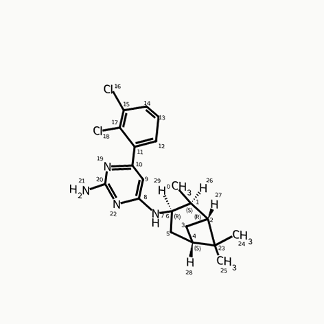 C[C@H]1[C@H]2C[C@@H](C[C@H]1Nc1cc(-c3cccc(Cl)c3Cl)nc(N)n1)C2(C)C